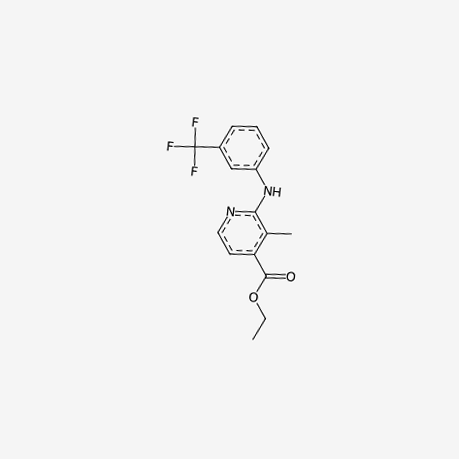 CCOC(=O)c1ccnc(Nc2cccc(C(F)(F)F)c2)c1C